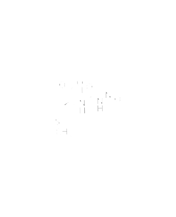 CSCC[C@H](NC(=O)NN=O)C(=O)O